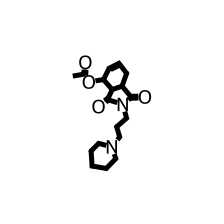 CC(=O)OC1C=CCC2C(=O)N(CCCN3CCCCC3)C(=O)C12